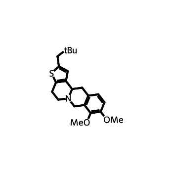 COc1ccc2c(c1OC)CN1CCc3sc(CC(C)(C)C)cc3C1C2